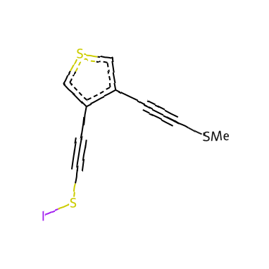 CSC#Cc1cscc1C#CSI